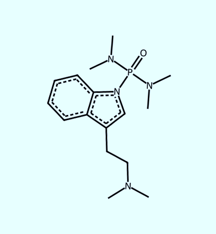 CN(C)CCc1cn(P(=O)(N(C)C)N(C)C)c2ccccc12